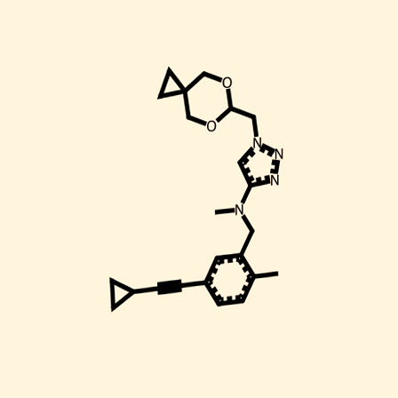 Cc1ccc(C#CC2CC2)cc1CN(C)c1cn(CC2OCC3(CC3)CO2)nn1